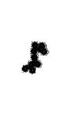 c1ccc(-n2c3ccccc3c3c4c5ccccc5n(-c5ccc(-c6ccc7c8ccccc8n(-c8cc9ccccc9c9ccccc89)c7c6)cc5)c4ccc32)cc1